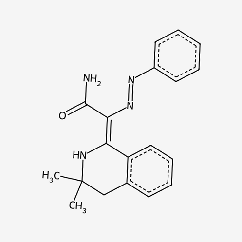 CC1(C)Cc2ccccc2/C(=C(\N=N\c2ccccc2)C(N)=O)N1